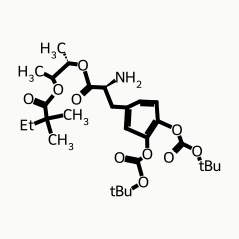 CCC(C)(C)C(=O)OC(C)[C@H](C)OC(=O)[C@@H](N)Cc1ccc(OC(=O)OC(C)(C)C)c(OC(=O)OC(C)(C)C)c1